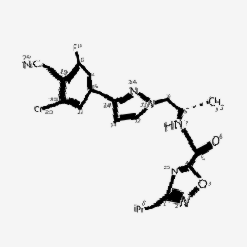 CC(C)c1noc(C(=O)N[C@@H](C)Cn2ccc(-c3cc(F)c(C#N)c(Cl)c3)n2)n1